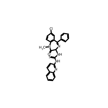 CN1C(=O)C(NC(=S)Nc2ccc3ccccc3n2)N=C(c2ccccc2)c2cc(Cl)ccc21